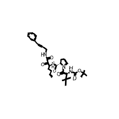 C=CCCC(NC(=O)[C@@H]1CCCN1C(=O)[C@@H](NC(=O)OC(C)(C)C)C(C)(C)C)C(=O)C(=O)NCC#Cc1ccccc1